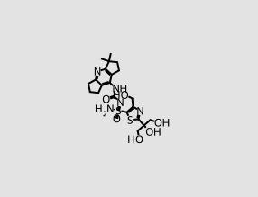 CC1(C)CCc2c1nc1c(c2NC(=O)N=[S@](N)(=O)c2sc(C(O)(CO)CO)nc2CO)CCC1